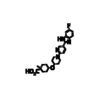 CC1(C(=O)O)CCC(OC2CCN(c3ccc(-c4nc5ccc(F)cc5[nH]4)cn3)CC2)CC1